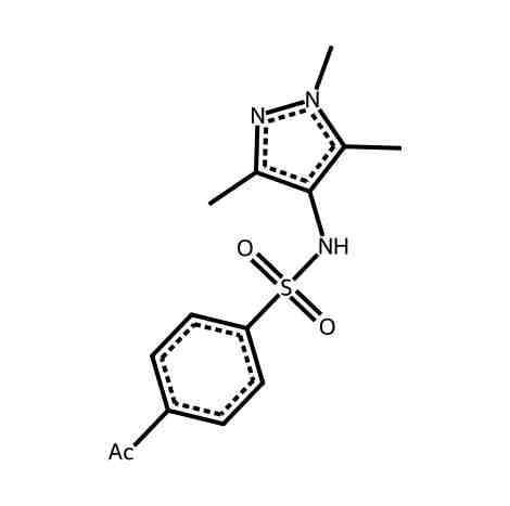 CC(=O)c1ccc(S(=O)(=O)Nc2c(C)nn(C)c2C)cc1